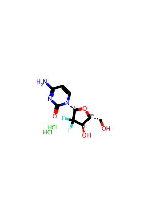 Cl.Cl.Nc1ccn([C@@H]2O[C@H](CO)[C@@H](O)C2(F)F)c(=O)n1